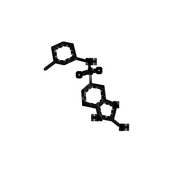 Cc1cccc(NS(=O)(=O)c2ccc3[nH]c(S)nc3c2)c1